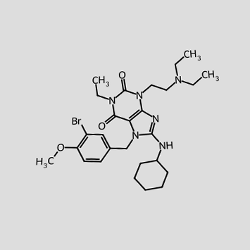 CCN(CC)CCn1c(=O)n(CC)c(=O)c2c1nc(NC1CCCCC1)n2Cc1ccc(OC)c(Br)c1